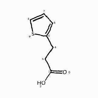 O=C(O)CCc1cccs1